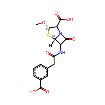 CO[C@H]1S[C@H]2C(NC(=O)Cc3cccc(C(=O)O)c3)C(=O)N2C1C(=O)O